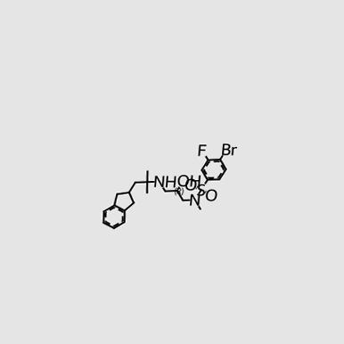 CN(C[C@H](O)CNC(C)(C)CC1Cc2ccccc2C1)S(=O)(=O)c1ccc(Br)c(F)c1